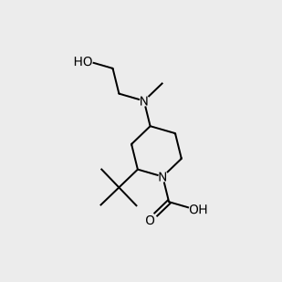 CN(CCO)C1CCN(C(=O)O)C(C(C)(C)C)C1